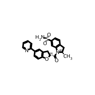 C[C@@H]1Cc2ccc(S(N)(=O)=O)cc2N1C(=O)[C@H]1Cc2cc(-c3ccccn3)ccc2O1